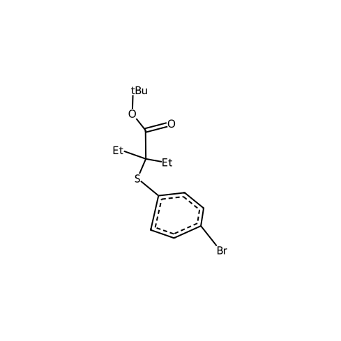 CCC(CC)(Sc1ccc(Br)cc1)C(=O)OC(C)(C)C